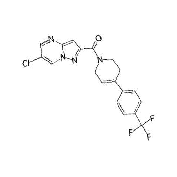 O=C(c1cc2ncc(Cl)cn2n1)N1CC=C(c2ccc(C(F)(F)F)cc2)CC1